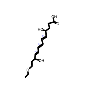 CCOCCC(O)/C=C/C=C/C=C/C(O)CCC(=O)O